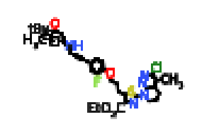 CCOC(=O)c1nc(N2CCCc3c2nnc(Cl)c3C)sc1CCCOc1ccc(C#CCNCCC(=O)[Si](C)(C)C(C)(C)C)cc1F